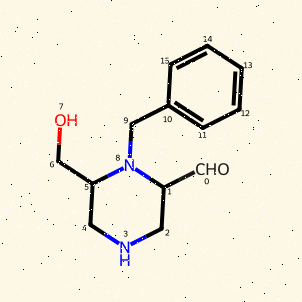 O=CC1CNCC(CO)N1Cc1ccccc1